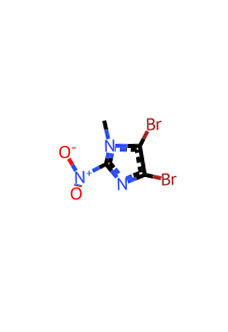 Cn1c([N+](=O)[O-])nc(Br)c1Br